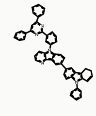 C1=Cc2c(c3cc(-c4ccc5c(c4)c4ncccc4n5-c4cccc(-c5nc(-c6ccccc6)cc(-c6ccccc6)n5)c4)ccc3n2-c2ccccc2)CC1